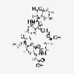 COc1cc(CC(=O)N(C)c2ccc(C(CC(=O)O)NC(=O)CCCC(=O)O)nc2)ccc1NC(=O)Nc1ccccc1C